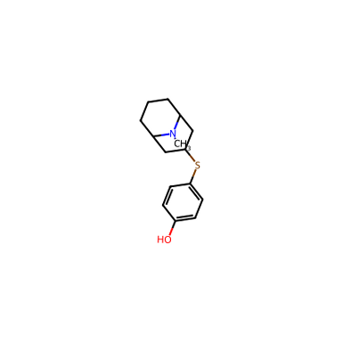 CN1C2CCCC1CC(Sc1ccc(O)cc1)C2